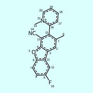 Cc1cc2c(oc3ccc(F)cc32)c(C#N)c1-c1cccc[n+]1C